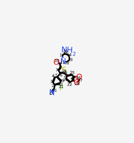 N#Cc1ccc(-c2cc(C(=O)N3CCC[C@@H](N)C3)sc2-c2ccc3c(c2)OCO3)cc1F